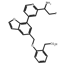 NC(CF)c1cc(-c2cc(COc3ccccc3CC(=O)O)cc3ccoc23)ccn1